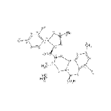 Cc1ccc(C[C@@H](C(=O)O)N2CCN(C(=O)[C@@H]3CN(C(C)(C)C)C[C@H]3c3ccc(Cl)cc3F)[C@@H](C)C2)c(F)c1.Cl.Cl